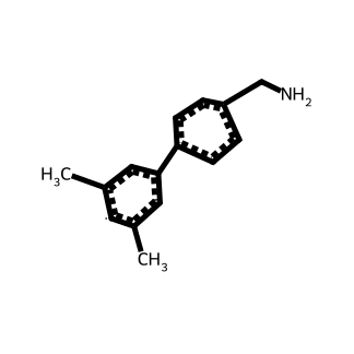 Cc1[c]c(C)cc(-c2ccc(CN)cc2)c1